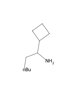 CCCCCC(N)C1CCC1